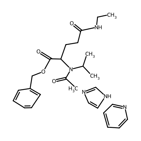 CCNC(=O)CCC(C(=O)OCc1ccccc1)N(C(C)=O)C(C)C.c1c[nH]cn1.c1ccncc1